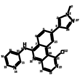 Cn1cc(-c2ccc3c(Nc4cccnc4)nc4ccnc(Cl)c4c3c2)cn1